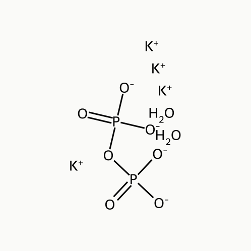 O.O.O=P([O-])([O-])OP(=O)([O-])[O-].[K+].[K+].[K+].[K+]